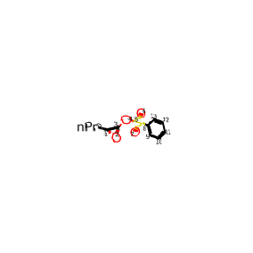 CCCC1O[C@@H]1OS(=O)(=O)c1ccccc1